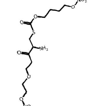 NC(CSC(=O)OCCCCO[N+](=O)[O-])C(=O)CCOCCO[N+](=O)[O-]